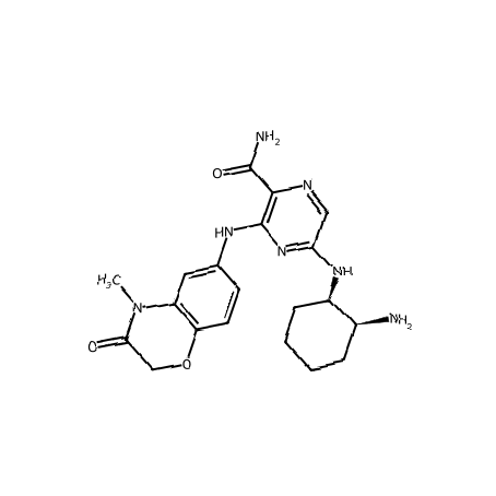 CN1C(=O)COc2ccc(Nc3nc(N[C@@H]4CCCC[C@@H]4N)cnc3C(N)=O)cc21